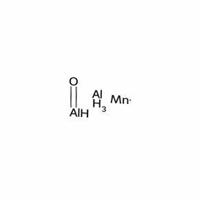 [AlH3].[Mn].[O]=[AlH]